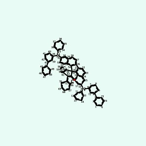 c1ccc(-c2cccc(N(c3ccccc3)c3ccc4c5c(ccc4c3)-c3ccc4cc(N(c6ccccc6)c6cccc(-c7ccccc7)c6)ccc4c3C53c4ccccc4-c4c3ccc3ccccc43)c2)cc1